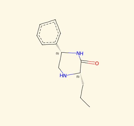 CCC[C@@H]1NC[C@H](c2ccccc2)NC1=O